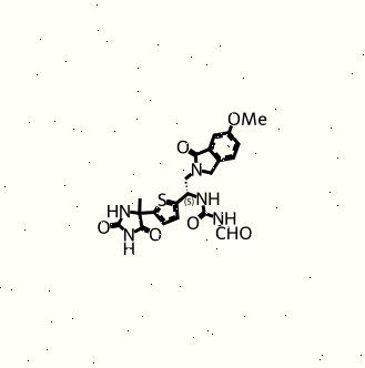 COc1ccc2c(c1)C(=O)N(C[C@H](NC(=O)NC=O)c1ccc(C3(C)NC(=O)NC3=O)s1)C2